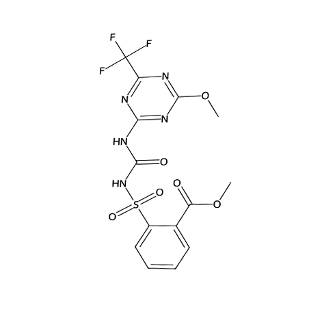 COC(=O)c1ccccc1S(=O)(=O)NC(=O)Nc1nc(OC)nc(C(F)(F)F)n1